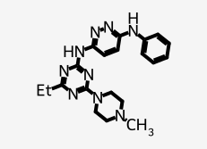 CCc1nc(Nc2ccc(Nc3ccccc3)nn2)nc(N2CCN(C)CC2)n1